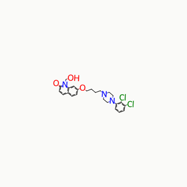 O=c1ccc2ccc(OCCCCN3CCN(c4cccc(Cl)c4Cl)CC3)cc2n1CO